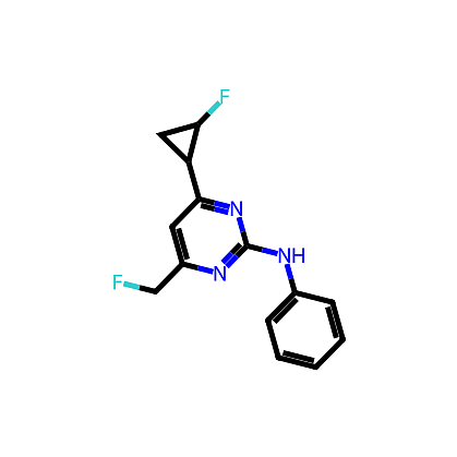 FCc1cc(C2CC2F)nc(Nc2ccccc2)n1